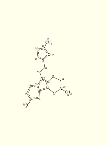 Cc1ccc2c(c1)c1c(n2CCc2ccc(C)o2)CCN(C)C1